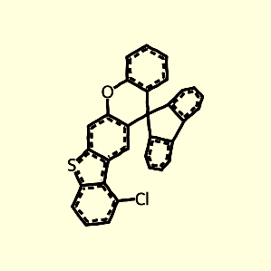 Clc1cccc2sc3cc4c(cc3c12)C1(c2ccccc2O4)c2ccccc2-c2ccccc21